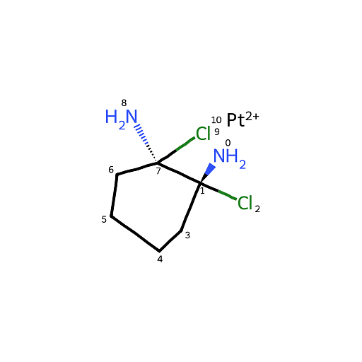 N[C@@]1(Cl)CCCC[C@@]1(N)Cl.[Pt+2]